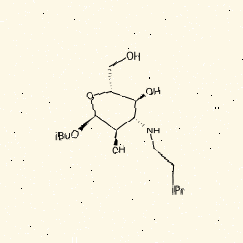 CC(C)CCN[C@@H]1[C@@H](O)[C@@H](OCC(C)C)O[C@H](CO)[C@H]1O